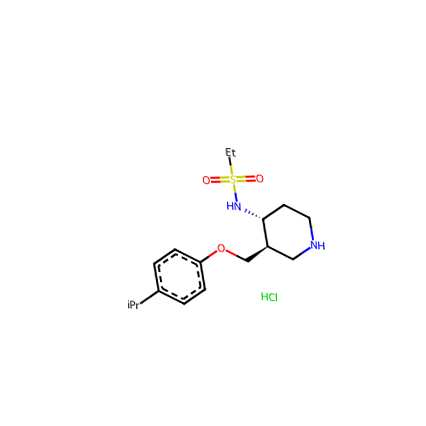 CCS(=O)(=O)N[C@@H]1CCNC[C@H]1COc1ccc(C(C)C)cc1.Cl